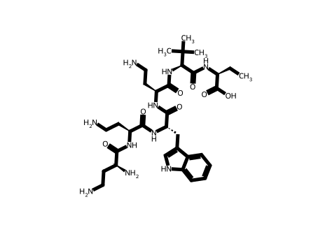 CC[C@H](NC(=O)[C@@H](NC(=O)[C@H](CCN)NC(=O)[C@H](Cc1c[nH]c2ccccc12)NC(=O)[C@H](CCN)NC(=O)[C@@H](N)CCN)C(C)(C)C)C(=O)O